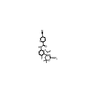 CC1(C)C[C@](c2cc(NC(=O)c3ccc(C#N)cn3)ccc2F)(C(F)F)N=C(N)O1